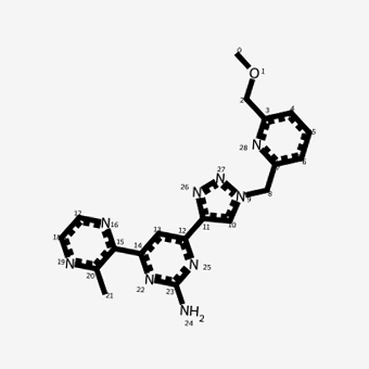 COCc1cccc(Cn2cc(-c3cc(-c4nccnc4C)nc(N)n3)nn2)n1